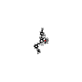 CS(=O)(=O)CC(=O)Nc1c2c(nn1-c1ccc(C#N)cn1)C[C@H](CCc1cccc(N3CC(F)(F)C3)c1)NC2=O